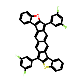 Fc1cc(F)cc(C2=c3cc4cc5c(cc4cc3-c3c2oc2ccccc32)=C(c2cc(F)cc(F)c2)c2sc3ccccc3c2-5)c1